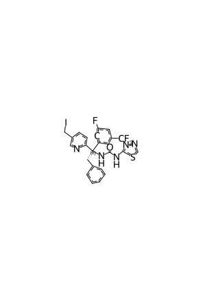 O=C(Nc1nncs1)N[C@](Cc1ccccc1)(c1cc(F)cc(C(F)(F)F)c1)c1ccc(CI)cn1